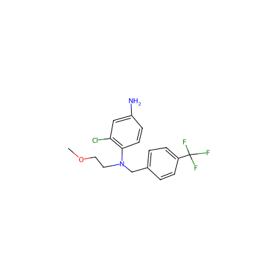 COCCN(Cc1ccc(C(F)(F)F)cc1)c1ccc(N)cc1Cl